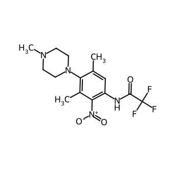 Cc1cc(NC(=O)C(F)(F)F)c([N+](=O)[O-])c(C)c1N1CCN(C)CC1